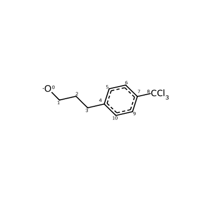 [O]CCCc1ccc(C(Cl)(Cl)Cl)cc1